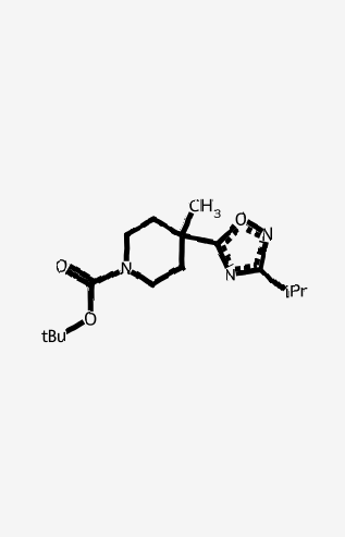 CC(C)c1noc(C2(C)CCN(C(=O)OC(C)(C)C)CC2)n1